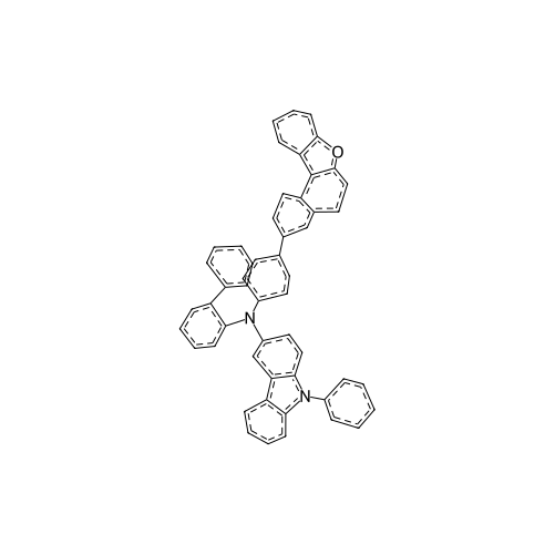 c1ccc(-c2ccccc2N(c2ccc(-c3ccc4c(ccc5oc6ccccc6c54)c3)cc2)c2ccc3c(c2)c2ccccc2n3-c2ccccc2)cc1